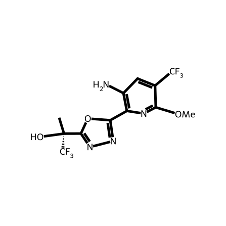 COc1nc(-c2nnc([C@](C)(O)C(F)(F)F)o2)c(N)cc1C(F)(F)F